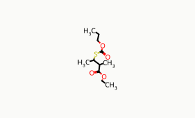 CCCOC(=O)SC(C)C(C)C(=O)OCC